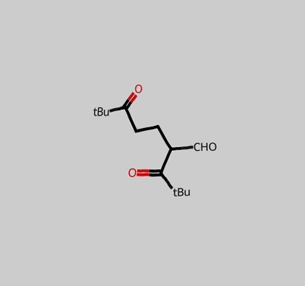 CC(C)(C)C(=O)CCC(C=O)C(=O)C(C)(C)C